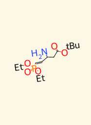 CCOP(=O)(/C=C/[C@@H](N)CC(=O)OC(C)(C)C)OCC